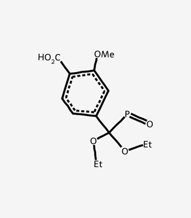 CCOC(OCC)(P=O)c1ccc(C(=O)O)c(OC)c1